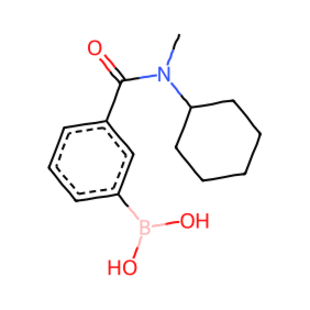 CN(C(=O)c1cccc(B(O)O)c1)C1CCCCC1